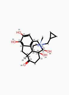 C[N@+]1(CC2CC2)CC[C@]23c4c5cc(O)c(O)c4C[C@H]2C(=O)CC[C@@]3(O)[C@@]1(O)C5